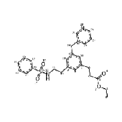 CCOC(=O)CCc1cc(CCNS(=O)(=O)c2ccccc2)cc(Cc2cccnc2)c1